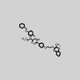 CONC(=O)[C@H](Cc1ccc(OCc2ccccc2)cc1)NC(=O)c1ccc(OCCOc2nc3ccccc3nc2C)cc1